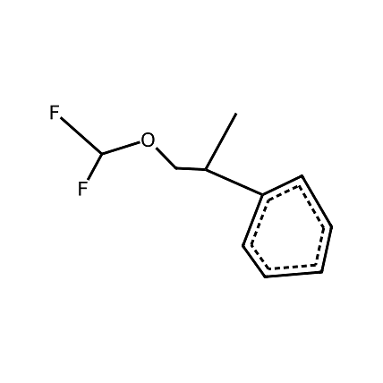 CC(COC(F)F)c1ccccc1